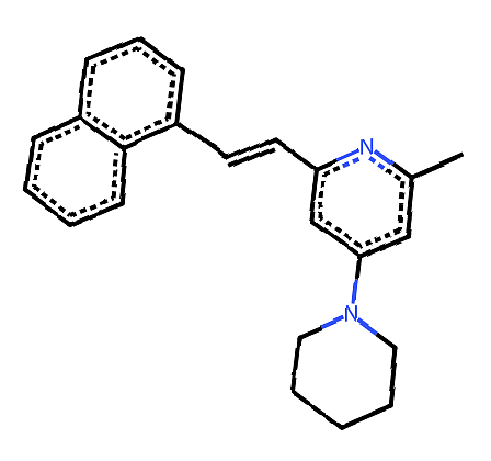 Cc1cc(N2CCCCC2)cc(C=Cc2cccc3ccccc23)n1